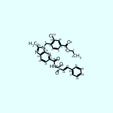 CCOC(=O)c1ccc(Cn2c(C)nc3ccc(C(=O)NS(=O)(=O)C=Cc4ccccc4)nc32)c(Cl)c1